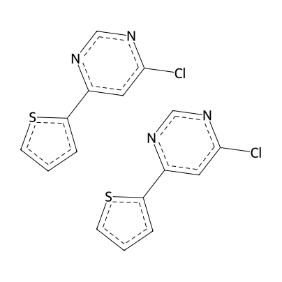 Clc1cc(-c2cccs2)ncn1.Clc1cc(-c2cccs2)ncn1